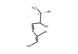 CCC(=C/O)/N=C\C(O)[C@H](C)C(C)C